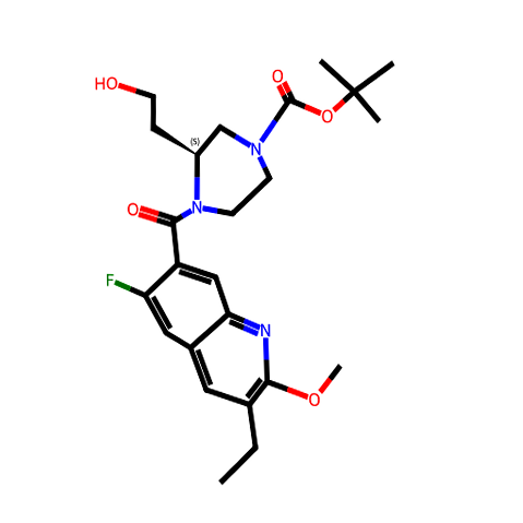 CCc1cc2cc(F)c(C(=O)N3CCN(C(=O)OC(C)(C)C)C[C@@H]3CCO)cc2nc1OC